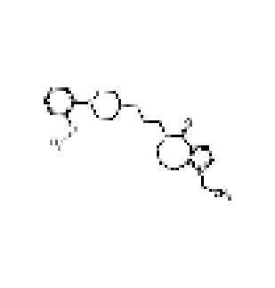 CCn1ccc2c1CCCN(CCCN1CCN(c3ccccc3OC)CC1)C2=O